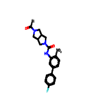 CCC(=O)N1CC2CN(C(=O)Nc3cc(-c4ccc(F)cc4)ccc3[N+](=O)[O-])CC2C1